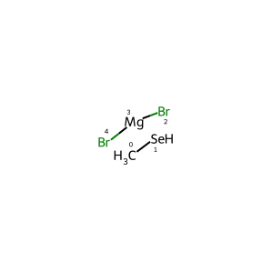 C[SeH].[Br][Mg][Br]